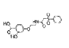 O=C(CS(=O)(=O)c1ccccc1)NCCOc1ccc(C(=O)O)c(O)c1